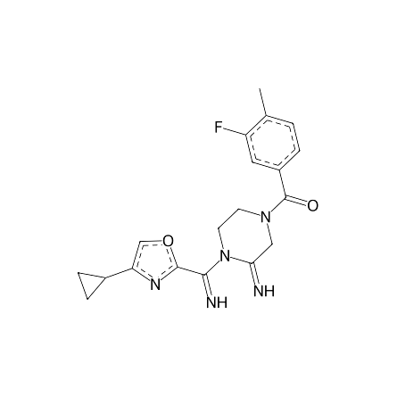 Cc1ccc(C(=O)N2CCN(C(=N)c3nc(C4CC4)co3)C(=N)C2)cc1F